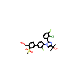 CC(C)(O)c1cn(-c2ccc(-c3ccc(CO)c(S(C)(=O)=O)c3)cc2F)c(-c2cccc(F)c2Cl)n1